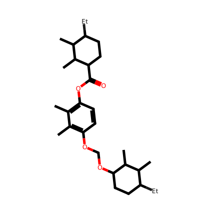 CCC1CCC(OCOc2ccc(OC(=O)C3CCC(CC)C(C)C3C)c(C)c2C)C(C)C1C